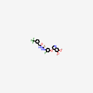 COc1cc2nccc(Oc3ccc(NC(=S)NC(=O)Cc4cccc(C(F)(F)F)c4)c(F)c3)c2cc1OC